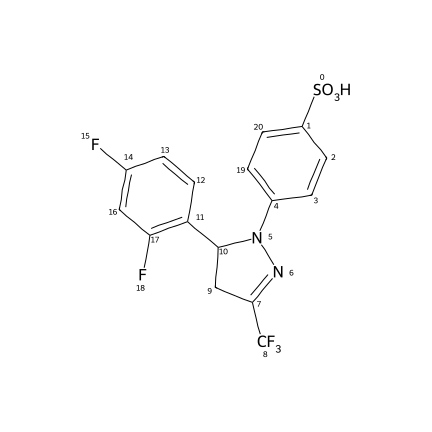 O=S(=O)(O)c1ccc(N2N=C(C(F)(F)F)CC2c2ccc(F)cc2F)cc1